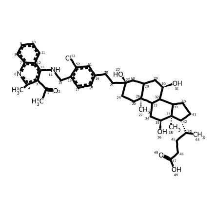 CC(=O)c1c(C)nc2ccccc2c1NCc1ccc(CC[C@@]2(O)CC[C@@]3(C)C(C[C@@H](O)C4C3C[C@H](O)[C@@]3(C)C4CC[C@@H]3C(C)CCC(=O)O)C2)cc1Cl